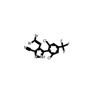 N#Cc1n[nH]c(-c2c(Cl)cc(C(F)(F)F)cc2Cl)c1C=C(Br)Br